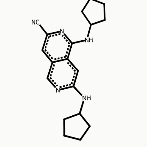 N#Cc1cc2cnc(NC3CCCC3)cc2c(NC2CCCC2)n1